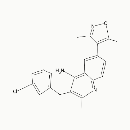 Cc1nc2ccc(-c3c(C)noc3C)cc2c(N)c1Cc1cccc(Cl)c1